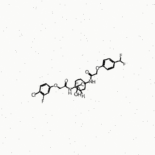 O=C(COc1ccc(C(F)F)cc1)NC12CCC(NC(=O)COc3ccc(Cl)c(F)c3)(CC1)[C@@H](O)C2